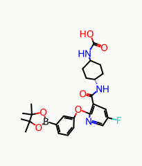 CC1(C)OB(c2cccc(Oc3ncc(F)cc3C(=O)N[C@H]3CC[C@H](NC(=O)O)CC3)c2)OC1(C)C